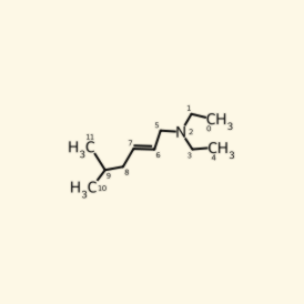 CCN(CC)C/C=C/CC(C)C